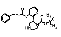 CC(C)(C)OC(=O)N1CCNCC1c1ncccc1NC(=O)OCc1ccccc1